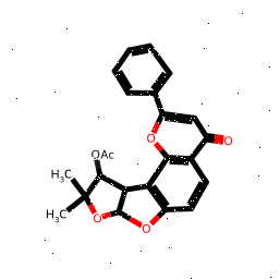 CC(=O)OC1C2c3c(ccc4c(=O)cc(-c5ccccc5)oc34)OC2OC1(C)C